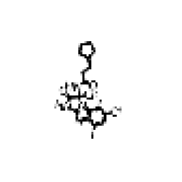 O=C(CCC1CCCC1)NC1(C(F)(F)F)C(=O)Nc2nc3c(I)cc(Cl)cc3n21